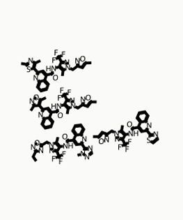 CCc1noc(Cn2nc(C(F)(F)F)c(NC(=O)c3cc(-c4ncnn4C)nc4ccccc34)c2C)n1.Cc1cc(Cn2nc(C(F)(F)F)c(NC(=O)c3cc(-c4c(C)noc4C)nc4ccccc34)c2C)no1.Cc1cc(Cn2nc(C(F)(F)F)c(NC(=O)c3cc(-c4nccs4)nc4ccccc34)c2C)no1.Cc1cc(Cn2nc(C(F)(F)F)c(NC(=O)c3cc(-c4sc(C)nc4C)nc4ccccc34)c2C)no1